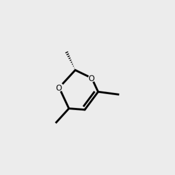 CC1=CC(C)O[C@H](C)O1